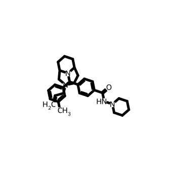 C=CCN1CCC2CCCC(C1)N2C(c1ccc(C(=O)NN2CCCCC2)cc1)c1cccc(C)c1